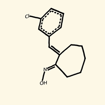 O/N=C1\CCCCC\C1=C/c1cccc(Cl)c1